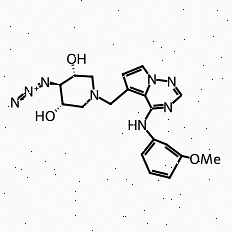 COc1cccc(Nc2ncnn3ccc(CN4C[C@@H](O)[C@H](N=[N+]=[N-])[C@@H](O)C4)c23)c1